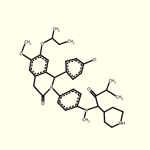 CCC(C)Oc1cc2c(cc1OC)CC(=O)N(c1ccc(N(C)C(C(=O)C(C)C)C3CCNCC3)cc1)C2c1ccc(Cl)cc1